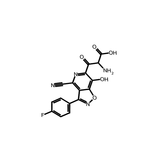 N#Cc1nc(C(=O)C(N)C(=O)O)c(O)c2onc(-c3ccc(F)cc3)c12